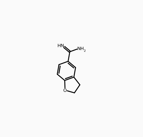 N=C(N)c1ccc2c(c1)CCO2